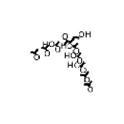 CC(=O)CCCO.CC(=O)O.CC(=O)O.CC(=O)O.CC(=O)O.CC(C)=O.CC(C)=O.CC(C)=O.CC(C)=O